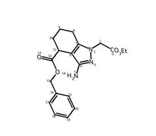 CCOC(=O)Cn1nc(N)c2c1CCCC2C(=O)OCc1ccccc1